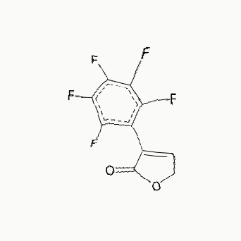 O=C1OCC=C1c1c(F)c(F)c(F)c(F)c1F